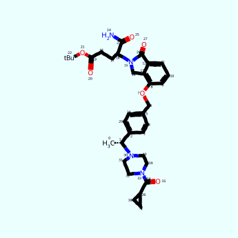 C[C@H](c1ccc(COc2cccc3c2CN(C(CCC(=O)OC(C)(C)C)C(N)=O)C3=O)cc1)N1CCN(C(=O)C2CC2)CC1